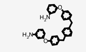 Nc1cccc(Oc2ccc(Cc3ccc(Cc4ccc(Oc5cccc(N)c5)cc4)cc3)cc2)c1